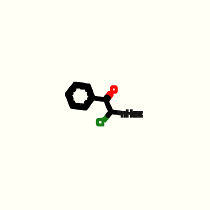 CCCCCCC(Cl)C(=O)c1ccccc1